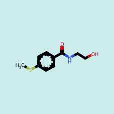 CSc1ccc(C(=O)NCCO)cc1